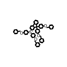 c1ccc(COc2ccc([S+](c3ccc(OCc4ccccc4)cc3)c3ccc4c(c3)C(c3ccc(OCc5ccccc5)cc3)(c3ccc(OCc5ccccc5)cc3)c3ccccc3-4)cc2)cc1